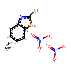 O=[N+]([O-])[O-].O=[N+]([O-])[O-].Sc1nc2ccccc2s1.[Mn+2].[NaH]